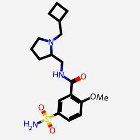 COc1ccc(S(N)(=O)=O)cc1C(=O)NCC1CCCN1CC1CCC1